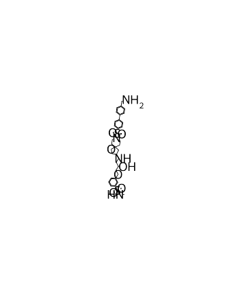 CNS(=O)(=O)c1cccc(OC[C@@H](O)CNC2COC3(CCN(S(=O)(=O)c4ccc(-c5ccc(CN)cc5)cc4)CC3)C2)c1